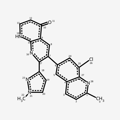 Cc1ccc2cc(-c3cc4c(=O)cc[nH]c4nc3-c3ccn(C)n3)cc(Cl)c2n1